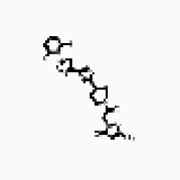 O=C(Cn1oc(C(F)(F)F)cc1=O)N1CCC(c2nc(C3=NO[C@H](c4c(F)cccc4F)C3)cs2)CC1